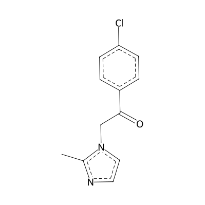 Cc1nccn1CC(=O)c1ccc(Cl)cc1